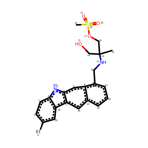 CCc1ccc2[nH]c3cc4c(CNC(C)(CO)COS(C)(=O)=O)cccc4cc3c2c1